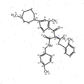 C/C(Sc1ccccc1C)=C(/C(=O)NCc1cnc(C)cn1)C(=O)c1ccc(N2CCCN(C)CC2)nc1C